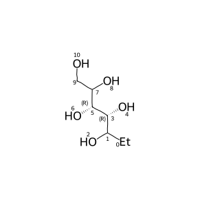 CCC(O)[C@@H](O)[C@H](O)C(O)CO